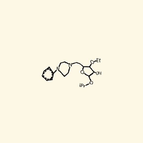 CCOC1C(CN2CCN(c3ccccc3)CC2)OC(OC(C)C)C1O